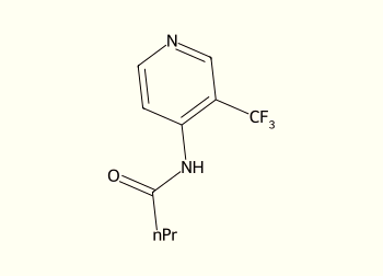 CCCC(=O)Nc1ccncc1C(F)(F)F